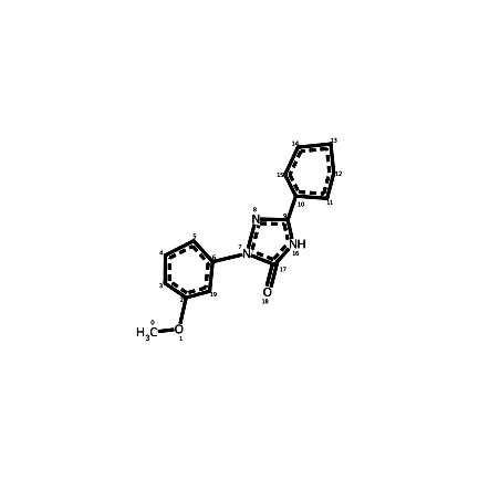 COc1cccc(-n2nc(-c3ccccc3)[nH]c2=O)c1